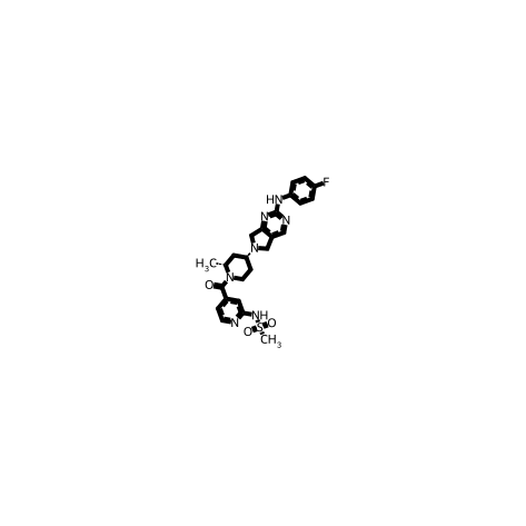 C[C@@H]1C[C@H](N2Cc3cnc(Nc4ccc(F)cc4)nc3C2)CCN1C(=O)c1ccnc(NS(C)(=O)=O)c1